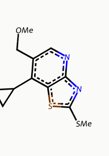 COCc1cnc2nc(SC)sc2c1C1CC1